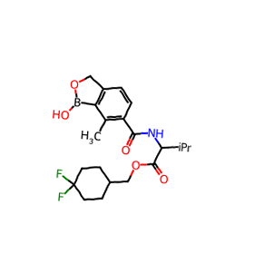 Cc1c(C(=O)NC(C(=O)OCC2CCC(F)(F)CC2)C(C)C)ccc2c1B(O)OC2